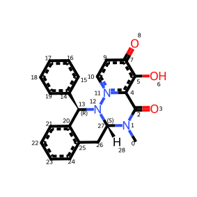 CN1C(=O)c2c(O)c(=O)ccn2N2[C@H](c3ccccc3)c3ccccc3C[C@@H]12